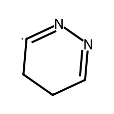 [C]1=NN=CCC1